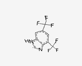 FC(F)(F)c1cc(C(F)(F)F)c2n[c][nH]c2c1